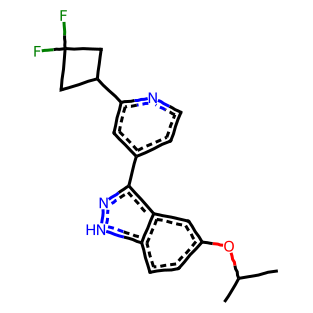 CC(C)Oc1ccc2[nH]nc(-c3ccnc(C4CC(F)(F)C4)c3)c2c1